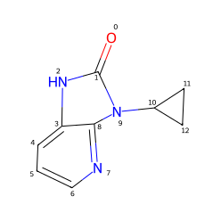 O=c1[nH]c2cccnc2n1C1CC1